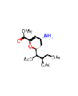 COC(=O)C1=C[C@H](N)C[C@H]([C@H](OC(C)=O)[C@@H](COC(C)=O)OC(C)=O)O1